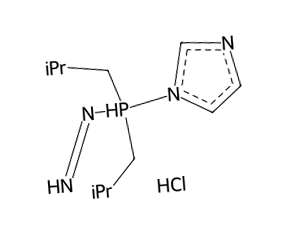 CC(C)C[PH](CC(C)C)(N=N)n1ccnc1.Cl